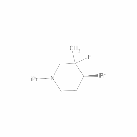 CC(C)[C@H]1CCN(C(C)C)CC1(C)F